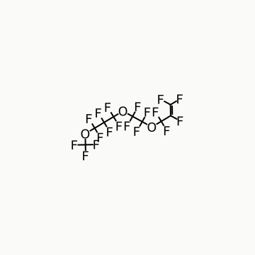 FC(F)=C(F)C(F)(F)OC(F)(F)C(F)(F)OC(F)(F)C(F)(F)C(F)(F)OC(F)(F)F